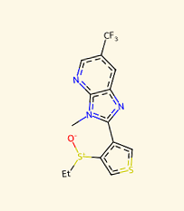 CC[S+]([O-])c1cscc1-c1nc2cc(C(F)(F)F)cnc2n1C